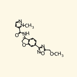 COCc1nc(-c2ccc3c(c2)OC[C@H]3NC(=O)c2ccnn2C)no1